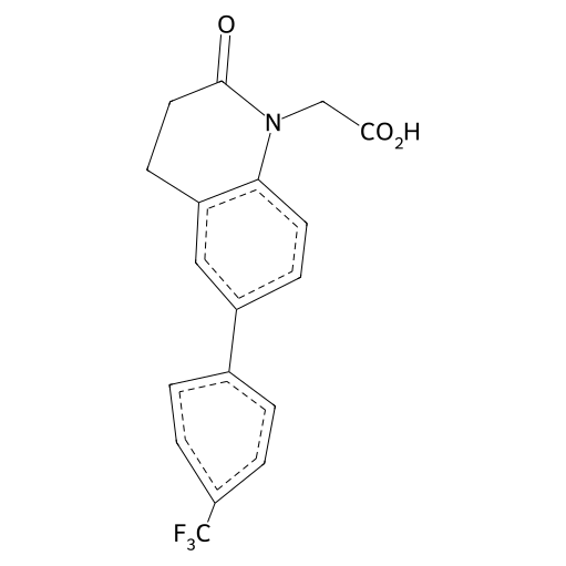 O=C(O)CN1C(=O)CCc2cc(-c3ccc(C(F)(F)F)cc3)ccc21